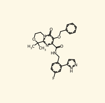 CC1(C)OCCn2c1nc(C(=O)NCc1ccc(F)cc1-c1ccn[nH]1)c(OCc1ccccc1)c2=O